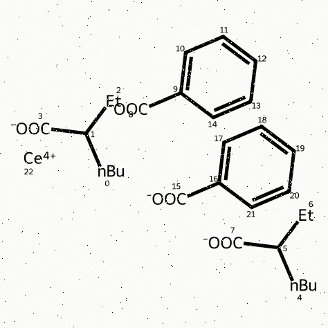 CCCCC(CC)C(=O)[O-].CCCCC(CC)C(=O)[O-].O=C([O-])c1ccccc1.O=C([O-])c1ccccc1.[Ce+4]